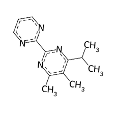 Cc1nc(-c2ncccn2)nc(C(C)C)c1C